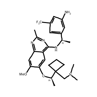 COc1cc2nc(C)nc(N[C@H](C)c3cc(N)cc(C(F)(F)F)c3)c2cc1O[C@H](C)C1(CN(C)C)CCC1